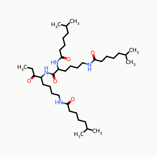 CCC(=O)C(CCCCNC(=O)CCCCC(C)C)NC(=O)C(CCCCNC(=O)CCCCC(C)C)NC(=O)CCCCC(C)C